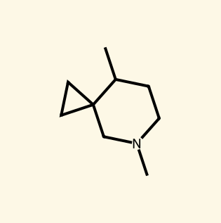 CC1CCN(C)CC12CC2